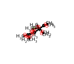 C=CC(=O)Oc1ccc(/C=C(\C)C(=O)Oc2ccc(C#Cc3cc(CCOC(=O)C(=C)C)c(C#Cc4ccc(OC(=O)C(=C)C)cc4)c(OC(=O)C=C)c3CCCF)c(OC(=O)C(=C)C)c2)cc1OC(=O)C(=C)C